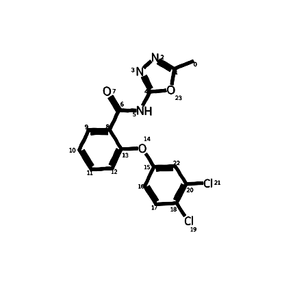 Cc1nnc(NC(=O)c2ccccc2Oc2ccc(Cl)c(Cl)c2)o1